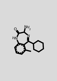 Cc1cccc2c1C(C1CCCCC1)=NC(N)C(=O)N2